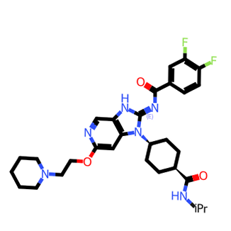 CC(C)NC(=O)[C@H]1CC[C@@H](n2/c(=N/C(=O)c3ccc(F)c(F)c3)[nH]c3cnc(OCCN4CCCCC4)cc32)CC1